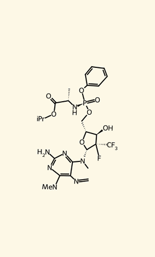 C=Nc1c(NC)nc(N)nc1N(C)[C@@H]1O[C@H](CO[P@](=O)(N[C@@H](C)C(=O)OC(C)C)Oc2ccccc2)[C@@H](O)[C@]1(F)C(F)(F)F